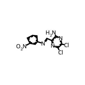 Nc1nc(Cl)c(Cl)nc1/C=N/c1cccc([N+](=O)[O-])c1